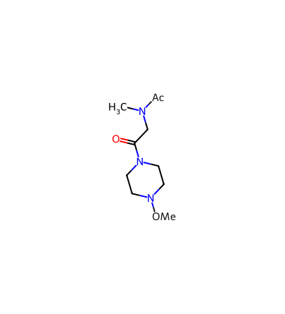 CON1CCN(C(=O)CN(C)C(C)=O)CC1